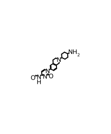 NC1CCC(N2CCc3cc(-n4ccc(NC=O)nc4=O)ccc3C2)CC1